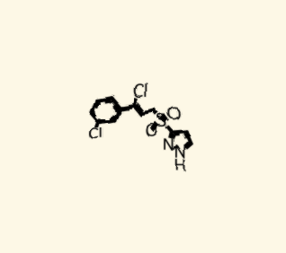 O=S(=O)(CC=C(Cl)c1cccc(Cl)c1)c1cc[nH]n1